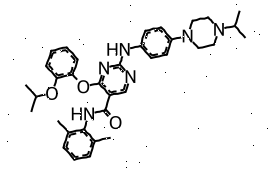 Cc1cccc(C)c1NC(=O)c1cnc(Nc2ccc(N3CCN(C(C)C)CC3)cc2)nc1Oc1ccccc1OC(C)C